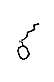 CCCCCPC1CCCCCCC1